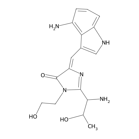 CC(O)C(N)C1=NC(=Cc2c[nH]c3cccc(N)c23)C(=O)N1CCO